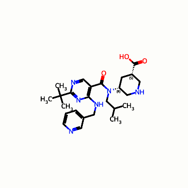 CC(C)CN(C(=O)c1cnc(C(C)(C)C)nc1NCc1cccnc1)[C@H]1CNC[C@@H](C(=O)O)C1